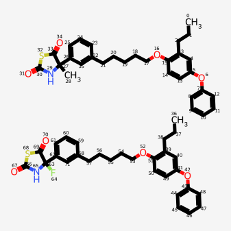 CCCc1cc(Oc2ccccc2)ccc1OCCCCCc1cccc(C2(C)NC(=O)SC2=O)c1.CCCc1cc(Oc2ccccc2)ccc1OCCCCCc1cccc(C2(F)NC(=O)SC2=O)c1